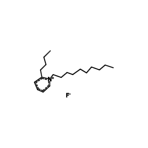 CCCCCCCCCC[n+]1ccccc1CCCC.[F-]